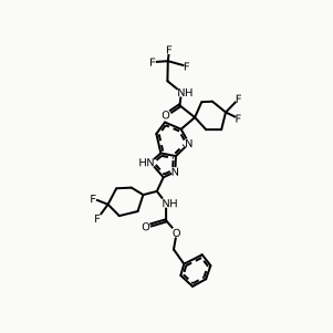 O=C(NC(c1nc2nc(C3(C(=O)NCC(F)(F)F)CCC(F)(F)CC3)ccc2[nH]1)C1CCC(F)(F)CC1)OCc1ccccc1